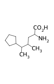 CC(CC(N)C(=O)O)C(C)C1CCCC1